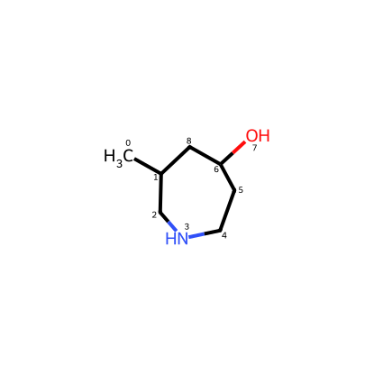 CC1CNCCC(O)C1